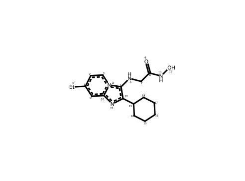 CCc1ccn2c(NCC(=O)NO)c(C3CCCCC3)nc2c1